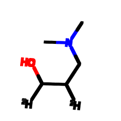 [2H]C(O)C([2H])CN(C)C